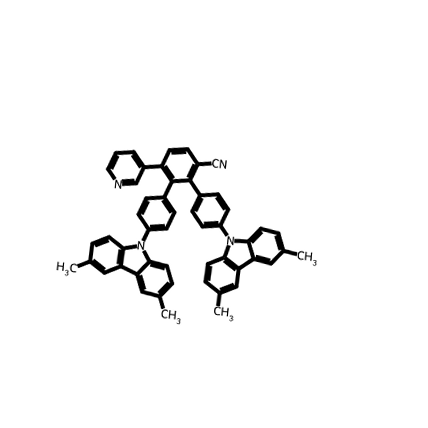 Cc1ccc2c(c1)c1cc(C)ccc1n2-c1ccc(-c2c(C#N)ccc(-c3cccnc3)c2-c2ccc(-n3c4ccc(C)cc4c4cc(C)ccc43)cc2)cc1